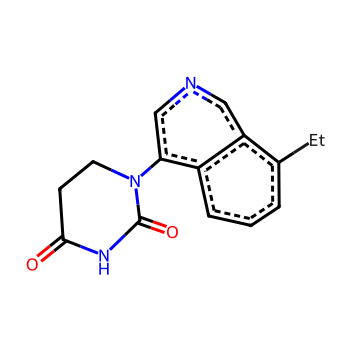 CCc1cccc2c(N3CCC(=O)NC3=O)cncc12